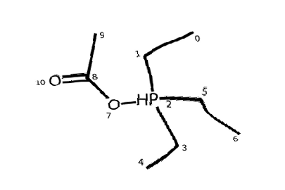 CC[PH](CC)(CC)OC(C)=O